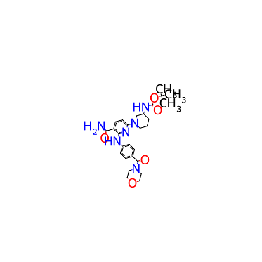 CC(C)(C)OC(=O)NC1CCCN(c2ccc(C(N)=O)c(Nc3ccc(C(=O)N4CCOCC4)cc3)n2)C1